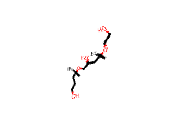 CCCC(C)(CCCO)OCC(O)CC(C)(CC)OCCO